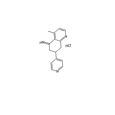 Cc1ccnc2c1C(=N)CC(c1ccncc1)C2.Cl